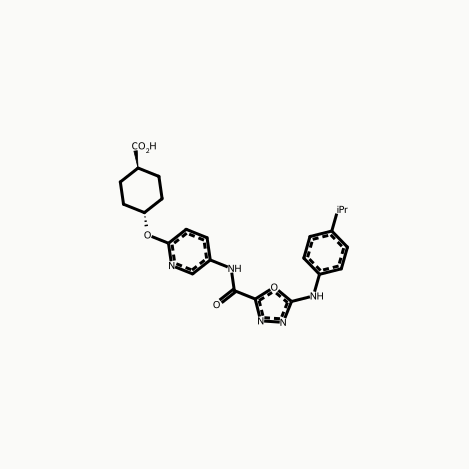 CC(C)c1ccc(Nc2nnc(C(=O)Nc3ccc(O[C@H]4CC[C@H](C(=O)O)CC4)nc3)o2)cc1